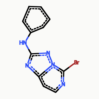 Brc1nccc2nc(Nc3ccccc3)nn12